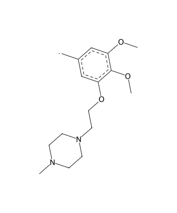 [CH2]c1cc(OC)c(OC)c(OCCN2CCN(C)CC2)c1